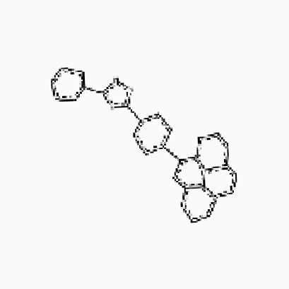 c1ccc(-c2nnc(-c3ccc(-c4cc5cccc6ccc7cccc4c7c65)cc3)s2)cc1